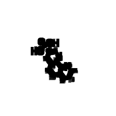 O=P(O)(O)c1cnc2c(ccc3cccnc32)c1